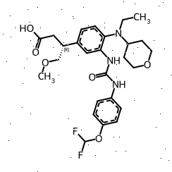 CCN(c1ccc([C@H](COC)CC(=O)O)cc1NC(=O)Nc1ccc(OC(F)F)cc1)C1CCOCC1